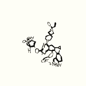 C=CC(=O)N1CC2(CCN(c3nc(O[C@H]4C[C@@H]5C[C@H]4CS5(=O)=O)nc4c(OCC(F)(F)F)c(-c5c(C)ccc6[nH]ncc56)c(C5CC5)cc34)CC2)C1